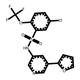 O=S(=O)(Nc1cncc(-c2ccco2)c1)c1cc(Cl)ccc1OC(F)(F)F